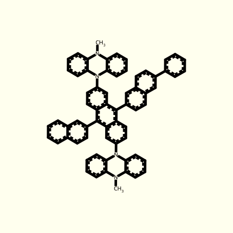 CN1c2ccccc2N(c2ccc3c(-c4ccc5cc(-c6ccccc6)ccc5c4)c4cc(N5c6ccccc6N(C)c6ccccc65)ccc4c(-c4ccc5ccccc5c4)c3c2)c2ccccc21